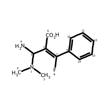 CN(C)C(N)C(C(=O)O)=C(F)c1ccccc1